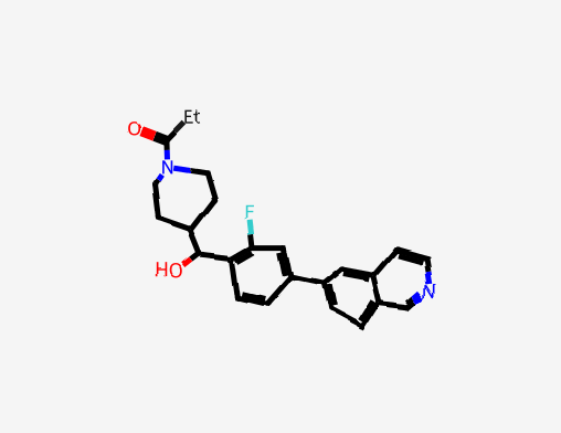 CCC(=O)N1CCC(C(O)c2ccc(-c3ccc4cnccc4c3)cc2F)CC1